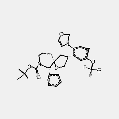 CC(C)(C)OC(=O)N1CCC[C@@]2(C[C@H](c3cc(OC(F)(F)F)ccc3N3C=COC3)CO2)[C@@H]1c1ccccc1